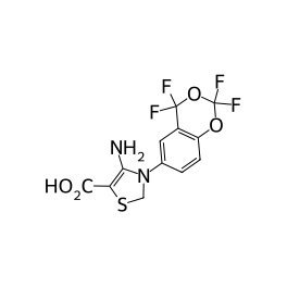 NC1=C(C(=O)O)SCN1c1ccc2c(c1)C(F)(F)OC(F)(F)O2